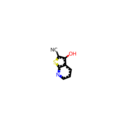 N#Cc1sc2ncccc2c1O